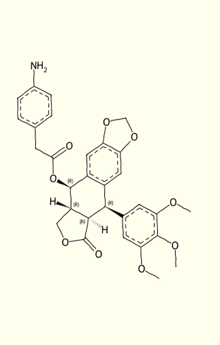 COc1cc([C@@H]2c3cc4c(cc3[C@H](OC(=O)Cc3ccc(N)cc3)[C@H]3COC(=O)[C@H]23)OCO4)cc(OC)c1OC